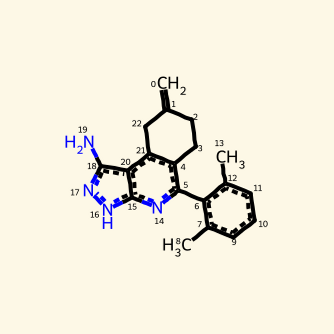 C=C1CCc2c(-c3c(C)cccc3C)nc3[nH]nc(N)c3c2C1